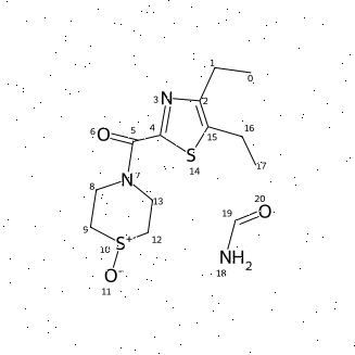 CCc1nc(C(=O)N2CC[S+]([O-])CC2)sc1CC.NC=O